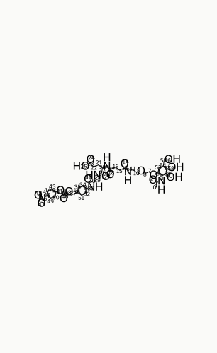 CC(=O)Nc1c(OCCOCCNC(=O)CCC(=O)NC(CCC(=O)O)C(=O)NCC(=O)Nc2ccc(COC(=O)Oc3ccc([N+](=O)[O-])cc3)cc2)cc(CO)c(O)c1O